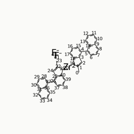 CC1=Cc2c(-c3cccc4ccccc34)cccc2[CH]1[Zr+2][CH]1C(C)=Cc2c(-c3cccc4ccccc34)cccc21.[F-].[F-]